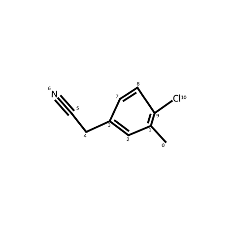 Cc1cc(CC#N)ccc1Cl